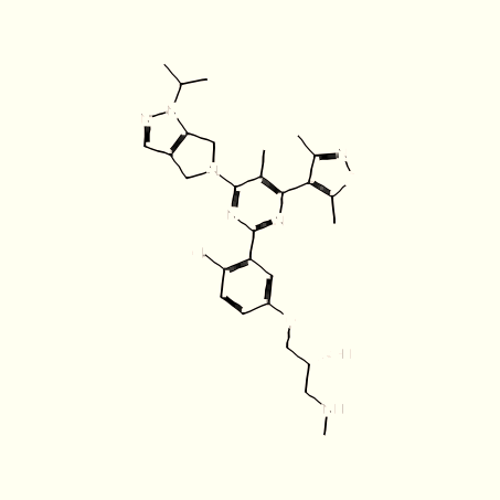 CNC[C@@H](O)COc1ccc(Cl)c(-c2nc(-c3c(C)noc3C)c(C)c(N3Cc4cnn(C(C)C)c4C3)n2)c1